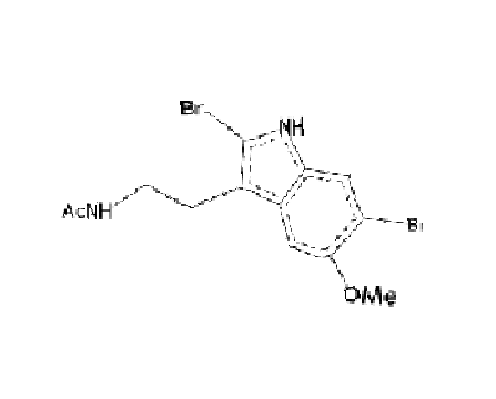 COc1cc2c(CCNC(C)=O)c(Br)[nH]c2cc1Br